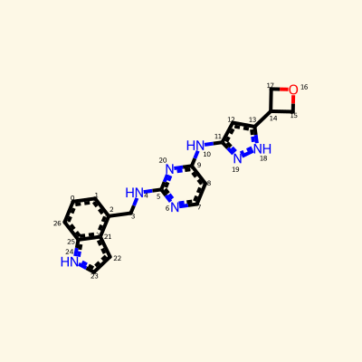 c1cc(CNc2nccc(Nc3cc(C4COC4)[nH]n3)n2)c2cc[nH]c2c1